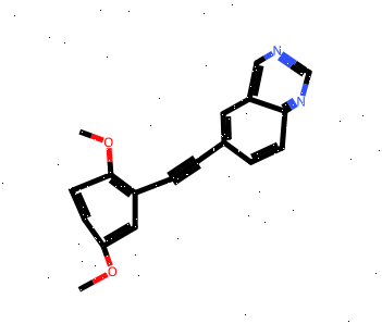 COc1ccc(OC)c(C#Cc2ccc3ncncc3c2)c1